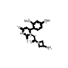 COc1ccc(-c2cc(=O)[nH]c(=S)n2CC(=O)N2CC(N)C2)c(OC)c1